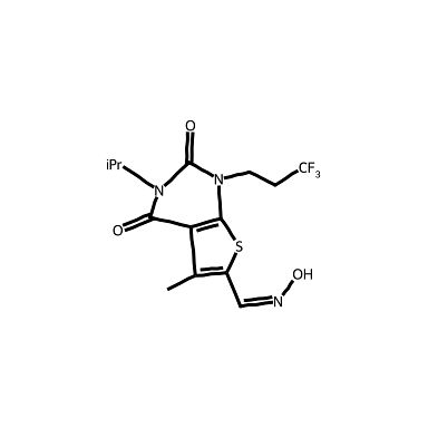 Cc1c(/C=N\O)sc2c1c(=O)n(C(C)C)c(=O)n2CCC(F)(F)F